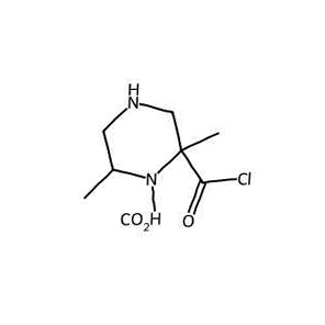 CC1CNCC(C)(C(=O)Cl)N1C(=O)O